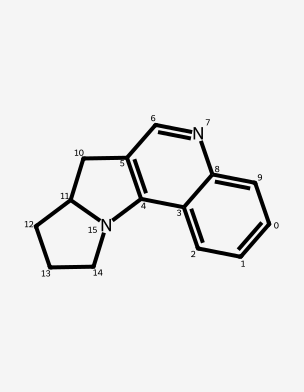 c1ccc2c3c(cnc2c1)CC1CCCN31